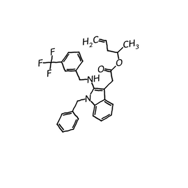 C=CCC(C)OC(=O)Cc1c(NCc2cccc(C(F)(F)F)c2)n(Cc2ccccc2)c2ccccc12